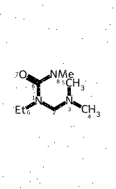 CCN([CH]N(C)C)C(=O)NC